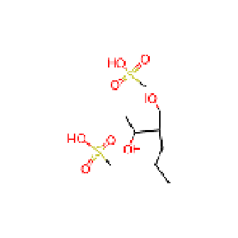 CCCC(CO)C(C)O.CS(=O)(=O)O.CS(=O)(=O)O